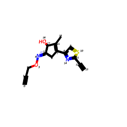 C#CCO/N=C1\CC(c2csc(C#C)n2)=C(C)C1O